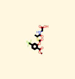 COC(=O)c1ccc(C(F)(F)F)cc1OC(=O)SC(C)C(=O)NCC(=O)O